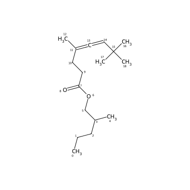 CCCC(C)COC(=O)CCC(C)=C=CC(C)(C)C